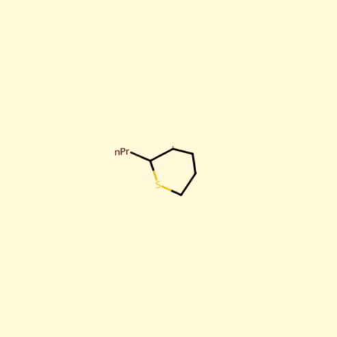 CCCC1[CH]CCCS1